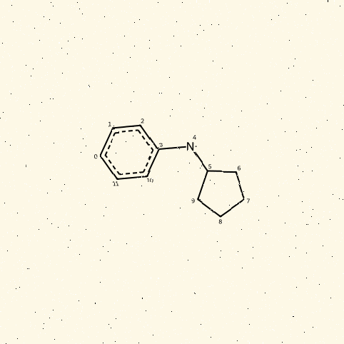 c1ccc([N]C2CCCC2)cc1